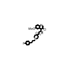 COc1ccc2ncc(Cl)c([C@H](F)CCC3(C(=O)O)CCN(CCCc4ccc(F)cc4)CC3)c2c1